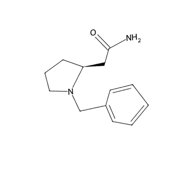 NC(=O)C[C@@H]1CCCN1Cc1ccccc1